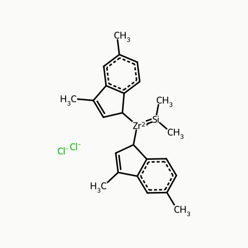 CC1=C[CH]([Zr+2]([CH]2C=C(C)c3cc(C)ccc32)=[Si](C)C)c2ccc(C)cc21.[Cl-].[Cl-]